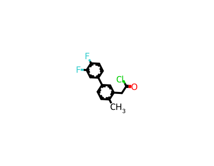 Cc1ccc(-c2ccc(F)c(F)c2)cc1CC(=O)Cl